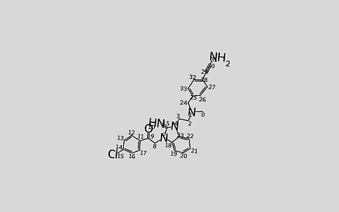 CN(CCn1c(=N)n(CC(=O)c2ccc(Cl)cc2)c2ccccc21)Cc1ccc(C#CN)cc1